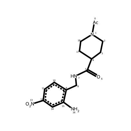 CC(=O)N1CCC(C(=O)NCc2ccc([N+](=O)[O-])cc2N)CC1